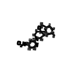 Cc1ccc2c(c1)C1(CCN(c3cc([N+](=O)[O-])ccn3)CC1)OC2